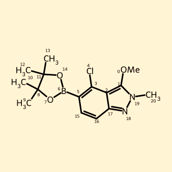 COc1c2c(Cl)c(B3OC(C)(C)C(C)(C)O3)ccc2nn1C